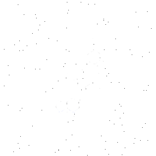 FC1=CC(Cc2ccnc3[nH]ccc23)=C(F)OC1Cc1ccc(Cl)cc1